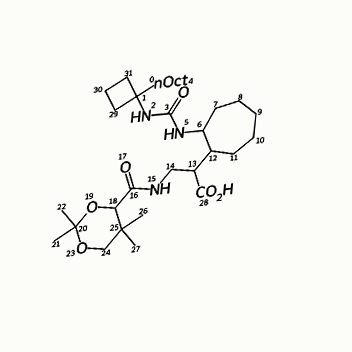 CCCCCCCCC1(NC(=O)NC2CCCCCC2C(CNC(=O)C2OC(C)(C)OCC2(C)C)C(=O)O)CCC1